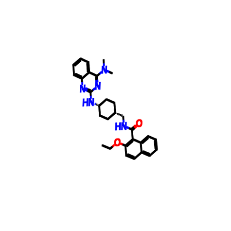 CCOc1ccc2ccccc2c1C(=O)NC[C@H]1CC[C@@H](Nc2nc(N(C)C)c3ccccc3n2)CC1